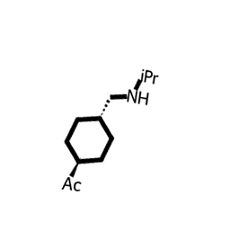 CC(=O)[C@H]1CC[C@H](CNC(C)C)CC1